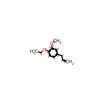 C=CCc1ccc(OCC)c(OC)c1